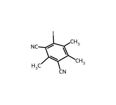 Cc1c(C)c(C#N)c(C)c(C#N)c1I